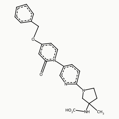 CC1(NC(=O)O)CCN(c2ccc(-n3ccc(OCc4ccccc4)cc3=O)cn2)C1